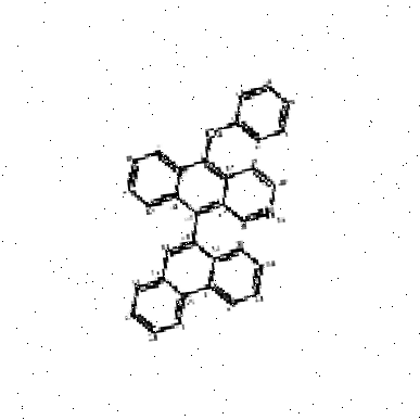 c1ccc(Oc2c3ccccc3c(-c3cc4ccccc4c4ccccc34)c3cnccc23)cc1